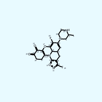 CC1CN(C2=CC3Cc4c(F)noc4N4C5=C(OC(=C2F)C34)C(=O)C(=O)CC5)CCN1